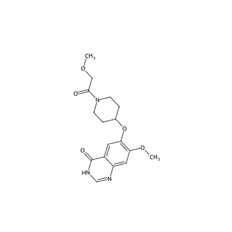 COCC(=O)N1CCC(Oc2cc3c(=O)[nH]cnc3cc2OC)CC1